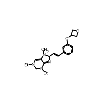 CCN1C=C2C(=NC(/C=C/c3cccc(OC4COC4)c3)N2C)N(CC)C1